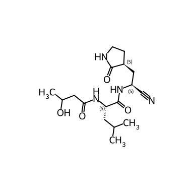 CC(C)C[C@H](NC(=O)CC(C)O)C(=O)N[C@H](C#N)C[C@@H]1CCNC1=O